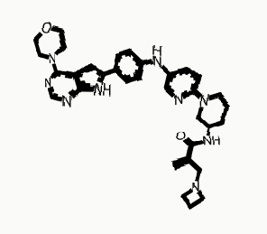 C=C(CN1CCC1)C(=O)N[C@@H]1CCCN(c2ccc(Nc3ccc(-c4cc5c(N6CCOCC6)ncnc5[nH]4)cc3)cn2)C1